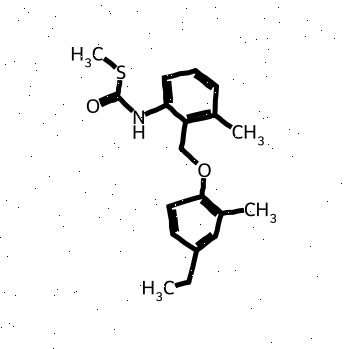 CCc1ccc(OCc2c(C)cccc2NC(=O)SC)c(C)c1